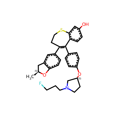 C[C@H]1Cc2cc(C3=C(c4ccc(O[C@H]5CCN(CCCF)C5)cc4)c4ccc(O)cc4SCC3)ccc2O1